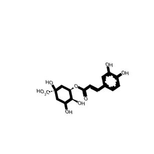 O=C(/C=C/c1ccc(O)c(O)c1)O[C@H]1C[C@@](O)(C(=O)O)CC(O)[C@@H]1O